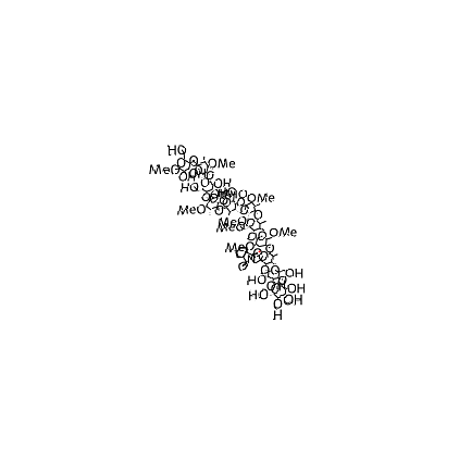 COCC1O[C@@H](O[C@H]2C(C)C(C)[C@@H](O[C@H]3C(C)C(OC)[C@H](O[C@@H]4C(CO)O[C@H](O[C@@H]5C(OC=O)O[C@@H](O[C@H]6C(O)C(O)[C@@H](O[C@H]7C(OC)C(C)[C@H](O[C@@H]8C(CO)O[C@H](OC)C(O)[C@H]8O)O[C@H]7C)O[C@H]6CO)C(OC)[C@H]5C)C(C)[C@H]4C)O[C@H]3COC)O[C@H]2COC)C(OC)[C@@H](C)[C@@H]1O[C@H]1OC(CN2C(=O)c3ccccc3C2=O)[C@@H](O[C@@H]2O[C@@H](CO)[C@@H](O[C@H]3O[C@@H](CO)[C@@H](O)C(O)C3O)C(O)C2O)[C@H](C)C1C